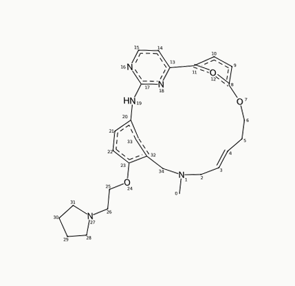 CN1C/C=C/CCOc2ccc(o2)-c2ccnc(n2)Nc2ccc(OCCN3CCCC3)c(c2)C1